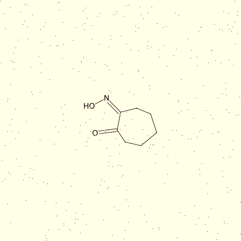 O=C1CCCCC/C1=N/O